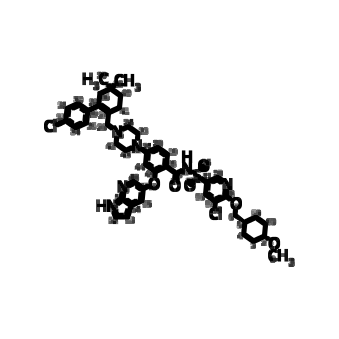 CO[C@H]1CC[C@@H](COc2ncc(S(=O)(=O)NC(=O)c3ccc(N4CCN(CC5=C(c6ccc(Cl)cc6)CC(C)(C)CC5)CC4)cc3Oc3cnc4[nH]ccc4c3)cc2Cl)CC1